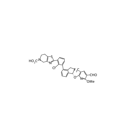 COc1nc(O[C@H]2CCc3c(-c4cccc(-c5nc6c(s5)CCN(C(=O)O)C6)c4Cl)cccc32)c(C(F)(F)F)cc1C=O